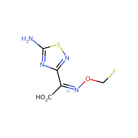 Nc1nc(/C(=N\OCF)C(=O)O)ns1